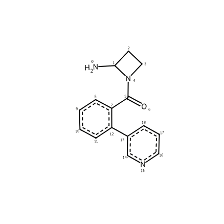 NC1CCN1C(=O)c1ccccc1-c1[c]nccc1